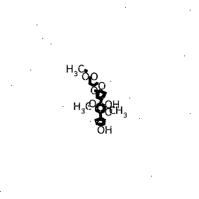 CCOC(=O)CC1COc2ccc(-c3c(OC)cc(-c4ccc(O)cc4)c(OC)c3O)cc2O1